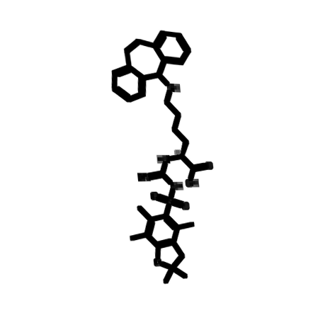 Cc1c(C)c(S(=O)(=O)NC(=N)N[C@@H](CCCCNC2c3ccccc3CCc3ccccc32)C(=O)O)c(C)c2c1OC(C)(C)C2